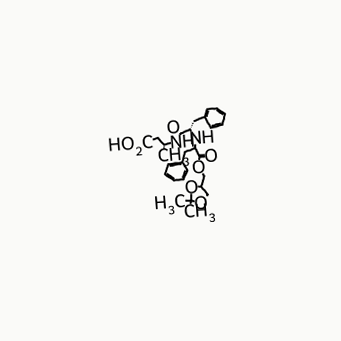 C[C@H](CC(=O)O)NC(=O)[C@H](Cc1ccccc1)NC(Cc1ccccc1)C(=O)OCC1COC(C)(C)O1